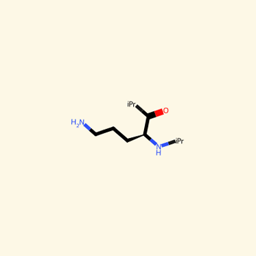 CC(C)N[C@@H](CCCN)C(=O)C(C)C